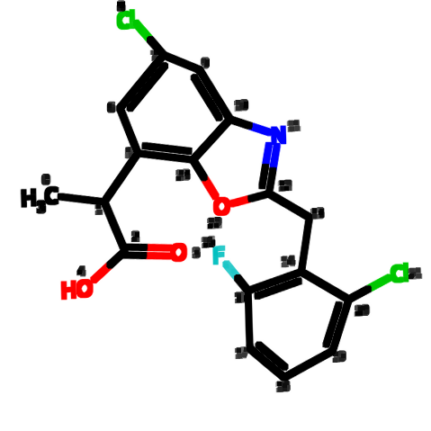 CC(C(=O)O)c1cc(Cl)cc2nc(Cc3c(F)cccc3Cl)oc12